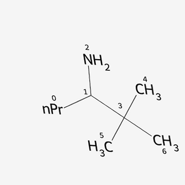 CCCC(N)C(C)(C)C